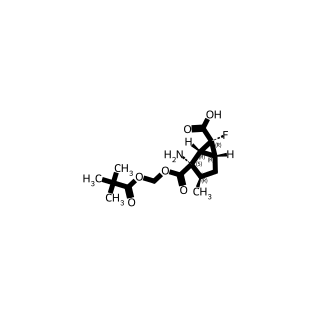 C[C@@H]1C[C@@H]2[C@H]([C@]1(N)C(=O)OCOC(=O)C(C)(C)C)[C@@]2(F)C(=O)O